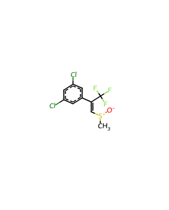 C[S+]([O-])/C=C(/c1cc(Cl)cc(Cl)c1)C(F)(F)F